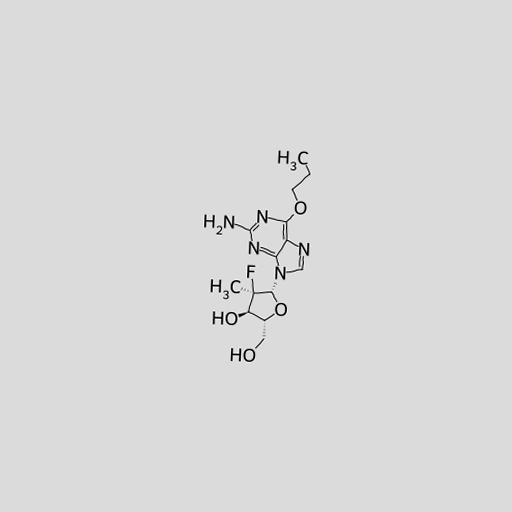 CCCOc1nc(N)nc2c1ncn2[C@@H]1O[C@H](CO)[C@@H](O)[C@@]1(C)F